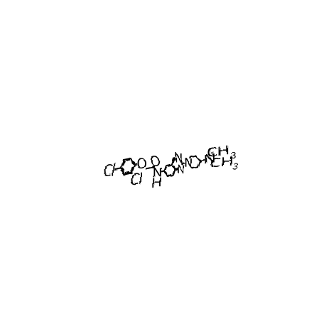 CN(C)C1CCN(c2ncc3cc(NC(=O)COc4ccc(Cl)cc4Cl)ccc3n2)CC1